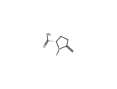 C=C1CC[C@@H](C(=O)C(C)(C)C)N1F